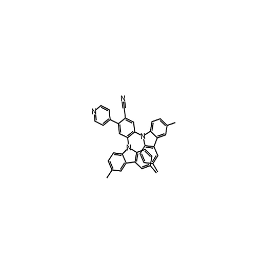 Cc1ccc2c(c1)c1cc(C)ccc1n2-c1cc(C#N)c(-c2ccncc2)cc1-n1c2ccc(C)cc2c2cc(C)ccc21